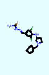 NC(=S)N/N=C/c1cc(F)c(N[C@@H]2CCN(Cc3ccccc3)C2)c(F)c1